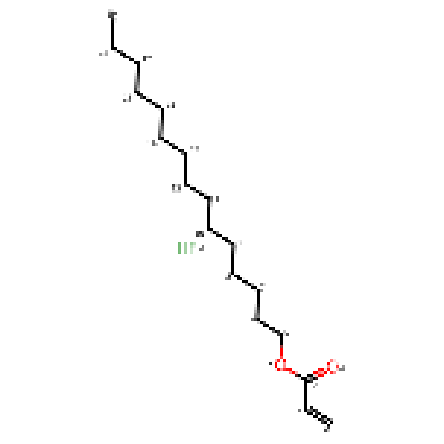 C=CC(=O)OCCCCCCCCCCCCCCC.F